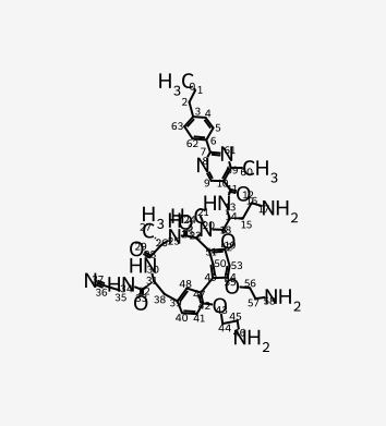 CCCc1ccc(-c2ncc(C(=O)N[C@@H](CCN)C(=O)N(C)[C@@H]3C(=O)N[C@@H](C)C(=O)N[C@H](C(=O)NCC#N)Cc4ccc(OCCN)c(c4)-c4cc3ccc4OCCN)c(C)n2)cc1